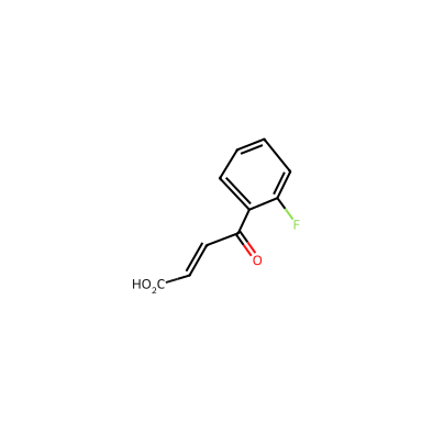 O=C(O)/C=C/C(=O)c1ccccc1F